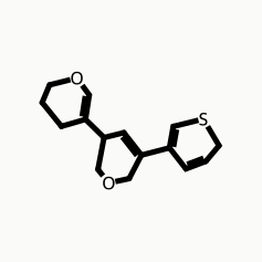 C1=CC(C2=CC(C3=COCCC3)COC2)=CSC1